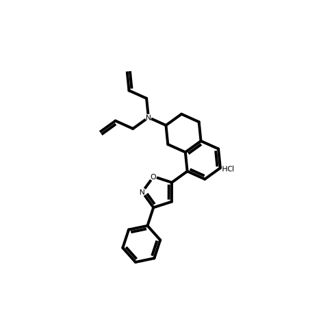 C=CCN(CC=C)C1CCc2cccc(-c3cc(-c4ccccc4)no3)c2C1.Cl